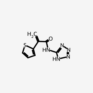 C=C(C(=O)Nc1nnn[nH]1)c1cccs1